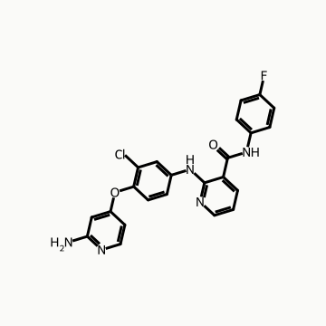 Nc1cc(Oc2ccc(Nc3ncccc3C(=O)Nc3ccc(F)cc3)cc2Cl)ccn1